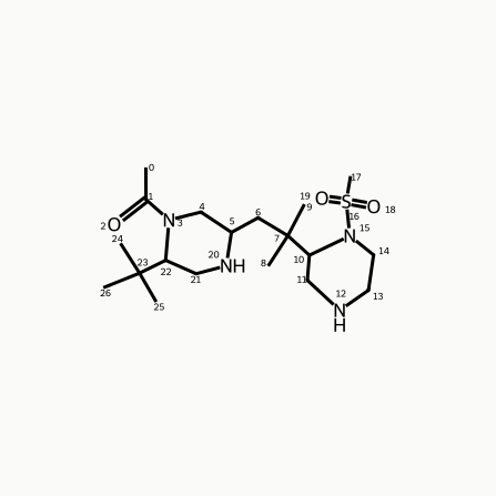 CC(=O)N1CC(CC(C)(C)C2CNCCN2S(C)(=O)=O)NCC1C(C)(C)C